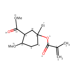 C=C(C)C(=O)OC1(CC)CCC(OC)C(C(=O)OC)C1